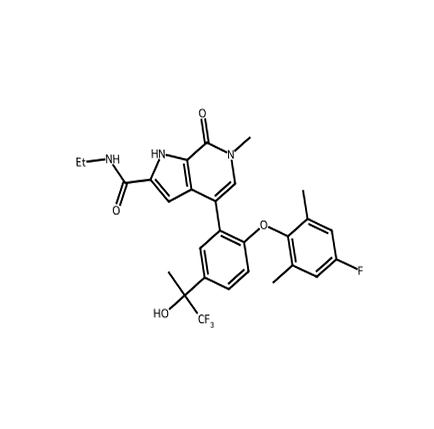 CCNC(=O)c1cc2c(-c3cc(C(C)(O)C(F)(F)F)ccc3Oc3c(C)cc(F)cc3C)cn(C)c(=O)c2[nH]1